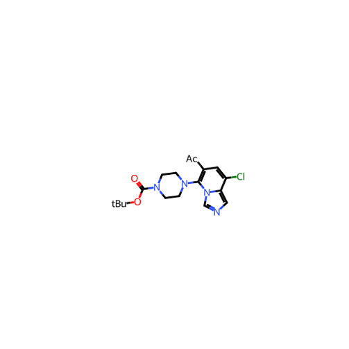 CC(=O)c1cc(Cl)c2cncn2c1N1CCN(C(=O)OC(C)(C)C)CC1